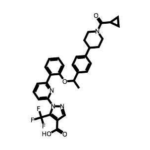 CC(Oc1ccccc1-c1cccc(-n2ncc(C(=O)O)c2C(F)(F)F)n1)c1ccc(C2CCN(C(=O)C3CC3)CC2)cc1